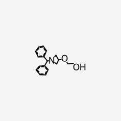 OCCOC1CN(C(c2ccccc2)c2ccccc2)C1